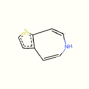 [C]1=Cc2sccc2C=CN1